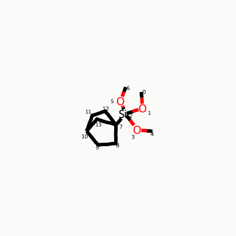 CO[Si](OC)(OC)C12CCC(CC1)C2